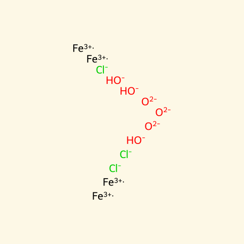 [Cl-].[Cl-].[Cl-].[Fe+3].[Fe+3].[Fe+3].[Fe+3].[O-2].[O-2].[O-2].[OH-].[OH-].[OH-]